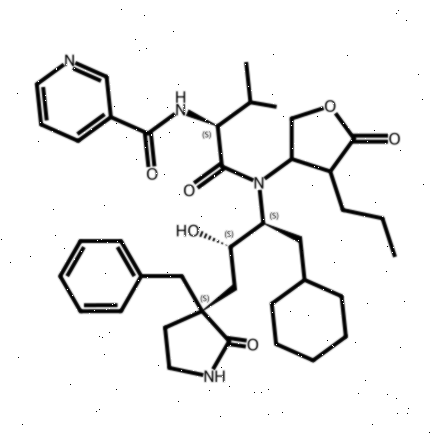 CCCC1C(=O)OCC1N(C(=O)[C@@H](NC(=O)c1cccnc1)C(C)C)[C@@H](CC1CCCCC1)[C@@H](O)C[C@]1(Cc2ccccc2)CCNC1=O